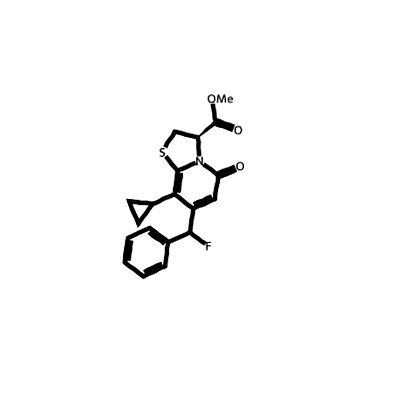 COC(=O)[C@@H]1CSc2c(C3CC3)c(C(F)c3ccccc3)cc(=O)n21